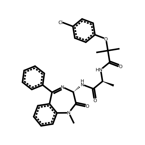 C[C@H](NC(=O)C(C)(C)Oc1ccc(Cl)cc1)C(=O)N[C@H]1N=C(c2ccccc2)c2ccccc2N(C)C1=O